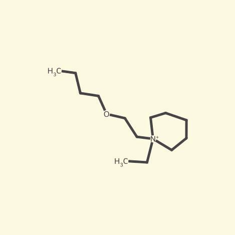 CCCCOCC[N+]1(CC)CCCCC1